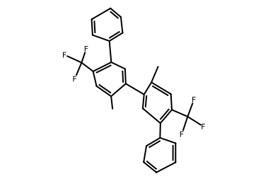 Cc1cc(C(F)(F)F)c(-c2ccccc2)cc1-c1cc(-c2ccccc2)c(C(F)(F)F)cc1C